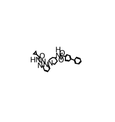 O=C(Nc1nc2cccc(N3CCC(NS(=O)(=O)c4ccc(-c5ccccc5)cc4)CC3)n2n1)C1CC1